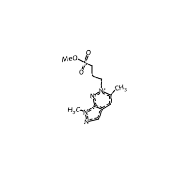 COS(=O)(=O)CCC[n+]1nc2c(cnn2C)cc1C